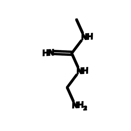 CNC(=N)NCN